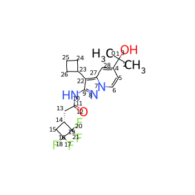 CC(C)(O)c1ccn2nc(NC(=O)C[C@H]3CC(F)(F)C3(F)F)c(C3CCC3)c2c1